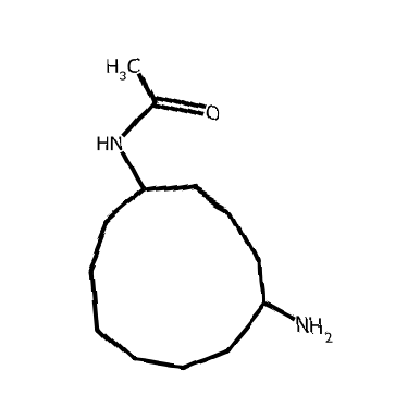 CC(=O)NC1CCCCCCC(N)CCC1